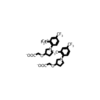 O=C([O-])COC1CCN(c2ccc(C(F)(F)F)cc2C(F)(F)F)C1.O=C([O-])COC1CCN(c2ccc(C(F)(F)F)cc2C(F)(F)F)C1.[Ca+2]